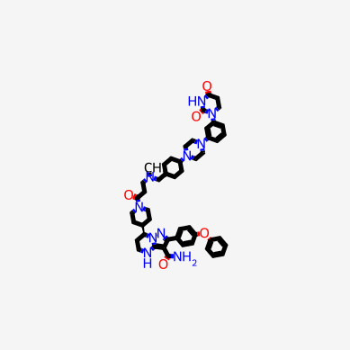 CN(CCC(=O)N1CCC([C@@H]2CCNc3c(C(N)=O)c(-c4ccc(Oc5ccccc5)cc4)nn32)CC1)CC1CCC(N2CCN(c3cccc(N4CCC(=O)NC4=O)c3)CC2)CC1